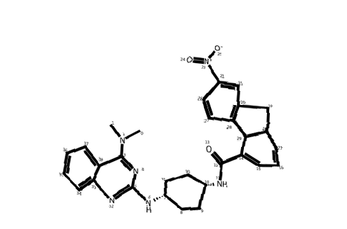 CN(C)c1nc(N[C@H]2CC[C@@H](NC(=O)C3=CC=CC4Cc5cc([N+](=O)[O-])ccc5C34)CC2)nc2ccccc12